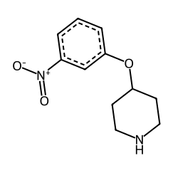 O=[N+]([O-])c1cccc(OC2CCNCC2)c1